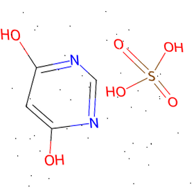 O=S(=O)(O)O.Oc1cc(O)ncn1